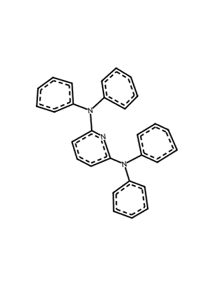 c1ccc(N(c2ccccc2)c2cccc(N(c3ccccc3)c3ccccc3)n2)cc1